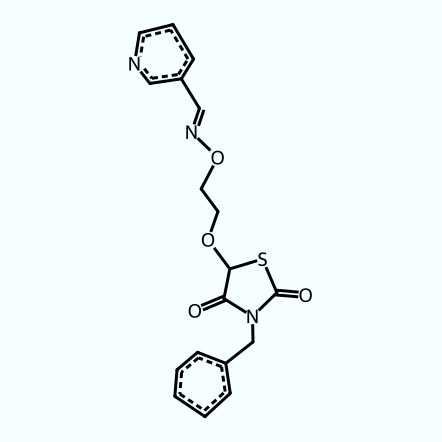 O=C1SC(OCCON=Cc2cccnc2)C(=O)N1Cc1ccccc1